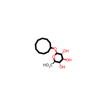 O=C(O)[C@H]1O[C@@H](OC2CCCCCCCCC2)[C@H](O)[C@@H](O)[C@@H]1O